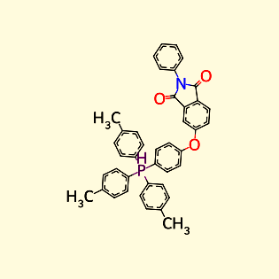 Cc1ccc([PH](c2ccc(C)cc2)(c2ccc(C)cc2)c2ccc(Oc3ccc4c(c3)C(=O)N(c3ccccc3)C4=O)cc2)cc1